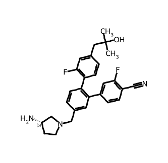 CC(C)(O)Cc1ccc(-c2ccc(CN3CC[C@H](N)C3)cc2-c2ccc(C#N)c(F)c2)c(F)c1